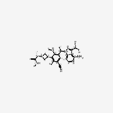 C=C(NC)[C@H](C)N1CC(c2c(C)c(C#N)cc(C(C)n3nc(C(F)F)c4c(N)ncnc43)c2OC)C1